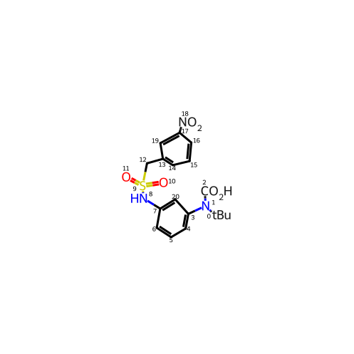 CC(C)(C)N(C(=O)O)c1cccc(NS(=O)(=O)Cc2cccc([N+](=O)[O-])c2)c1